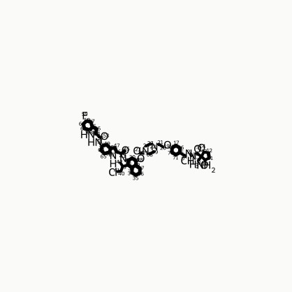 CC(=NNC(=O)C1(CN)C(=O)C=CC1=O)c1ccc(OCCN2CCN(C(=O)Oc3cc4c(c5ccccc35)C(CCl)CN4C(=O)c3cc4cc(NC(=O)c5cc6cc(F)ccc6[nH]5)ccc4[nH]3)CC2)cc1